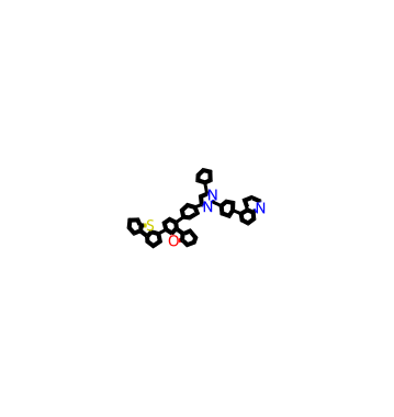 c1ccc(-c2cc(-c3ccc(-c4ccc(-c5cccc6c5sc5ccccc56)c5oc6ccccc6c45)cc3)nc(-c3ccc(-c4cccc5ncccc45)cc3)n2)cc1